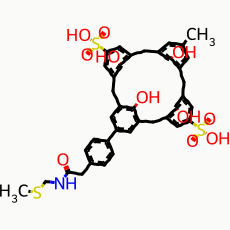 CSCNC(=O)Cc1ccc(-c2cc3c(O)c(c2)Cc2cc(S(=O)(=O)O)cc(c2O)Cc2cc(C)cc(c2O)Cc2cc(S(=O)(=O)O)cc(c2O)C3)cc1